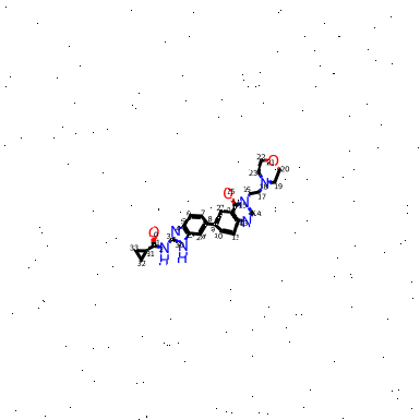 O=C(Nc1nc2ccc(-c3ccc4ncn(CCN5CCOCC5)c(=O)c4c3)cc2[nH]1)C1CC1